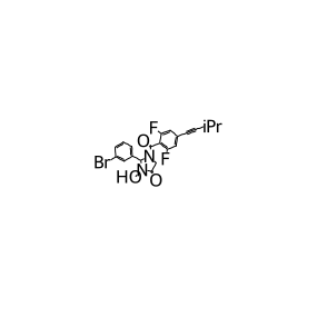 CC(C)C#Cc1cc(F)c(C(=O)N2CC(=O)N(O)C2c2cccc(Br)c2)c(F)c1